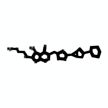 COCCNc1nc2nnn(Cc3nc(C4C5C=C(c6ccccc6)CC54)no3)c(=O)c2n1C